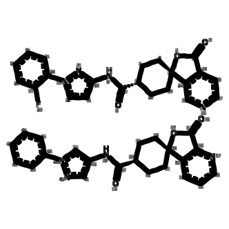 O=C1O[C@]2(CC[C@@H](C(=O)Nc3ccn(-c4ccccc4F)n3)CC2)c2cnccc21.O=C1O[C@]2(CC[C@H](C(=O)Nc3cnn(-c4ccccc4)c3)CC2)c2cccnc21